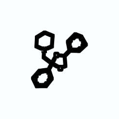 c1ccc(C2COC(CN3CCCCC3)(c3ccccc3)O2)cc1